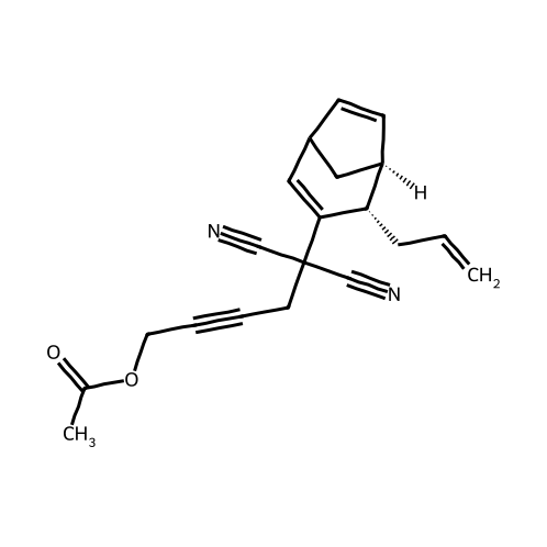 C=CC[C@@H]1C(C(C#N)(C#N)CC#CCOC(C)=O)=CC2C=C[C@@H]1C2